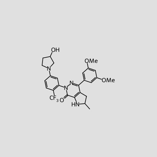 COc1cc(OC)cc(-c2nn(-c3cc(N4CCC(O)C4)ccc3C(F)(F)F)c(=O)c3c2CC(C)N3)c1